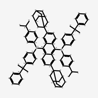 CC(C)c1ccc(N(c2ccc(C(C)(C)c3ccccc3)cc2)c2c3ccc(C45CC6CC(CC(C6)C4)C5)cc3c(N(c3ccc(C(C)C)cc3)c3ccc(C(C)(C)c4ccccc4)cc3)c3ccc(C45CC6CC(CC(C6)C4)C5)cc23)cc1